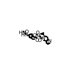 CNC(=O)Nc1ccc2c(c1)CC[C@@]21OC(=O)N(CC(=O)N2Cc3cccnc3CC[C@H]2C2CC2)C1=O